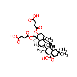 CC1(C)CC[C@]2(C(=O)O)CC[C@]3(C)C(=CCC4[C@@]5(C)CC[C@H](OC(=O)CCC(=O)O)[C@@](C)(COC(=O)CCC(=O)O)C5CC[C@]43C)[C@@H]2C1